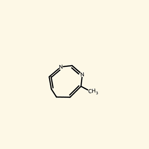 CC1=C/CC=C=N/C=N\1